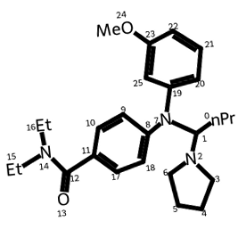 CCCC(N1CCCC1)N(c1ccc(C(=O)N(CC)CC)cc1)c1cccc(OC)c1